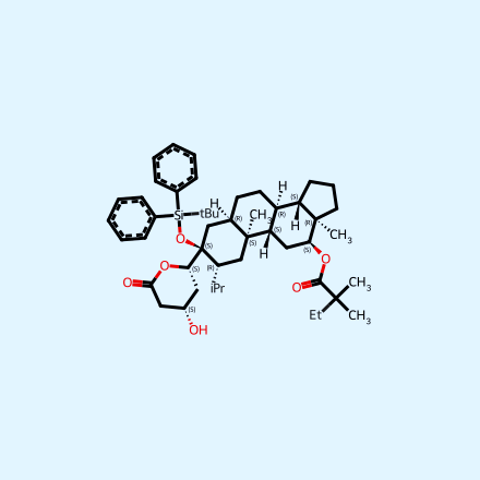 CCC(C)(C)C(=O)O[C@H]1C[C@H]2[C@@H](CC[C@@H]3C[C@@](O[Si](c4ccccc4)(c4ccccc4)C(C)(C)C)([C@@H]4C[C@H](O)CC(=O)O4)[C@@H](C(C)C)C[C@@]32C)[C@@H]2CCC[C@@]12C